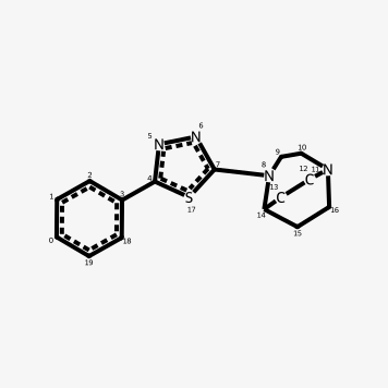 c1ccc(-c2nnc(N3CCN4CCC3CC4)s2)cc1